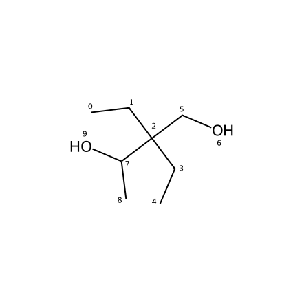 CCC(CC)(CO)C(C)O